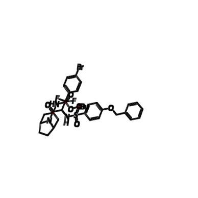 CC(C)(C)OC(=O)NC1CC2CCC(C1)N2C(=O)C(NS(=O)(=O)c1ccc(OCc2ccccc2)cc1)C(F)(F)c1ccc(Br)cc1